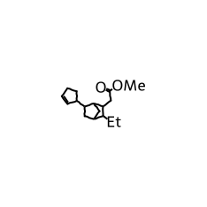 CCC1C2CC(C3C=CCC3)C(C2)C1CC(=O)OC